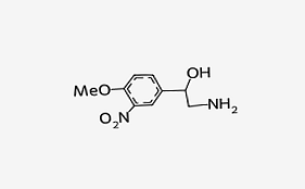 COc1ccc(C(O)CN)cc1[N+](=O)[O-]